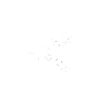 CC(C)CCn1nc(-c2ccc(OC(F)(F)F)cc2)cc1CN(C)Cc1ccc(OC(C)(C)C(=O)O)c(Cl)c1